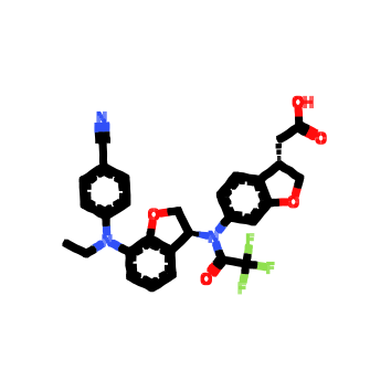 CCN(c1ccc(C#N)cc1)c1cccc2c1OC[C@H]2N(C(=O)C(F)(F)F)c1ccc2c(c1)OC[C@H]2CC(=O)O